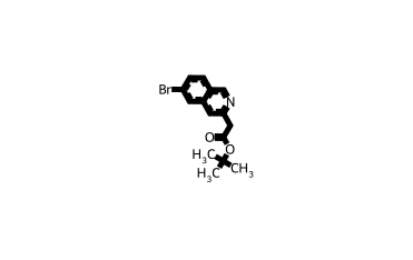 CC(C)(C)OC(=O)Cc1cc2cc(Br)ccc2cn1